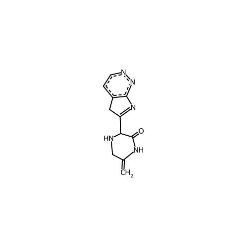 C=C1CNC(C2=Nc3nnccc3C2)C(=O)N1